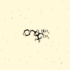 C[SH](C)c1oc(CN2CCOCC2)nc1C(F)(F)F